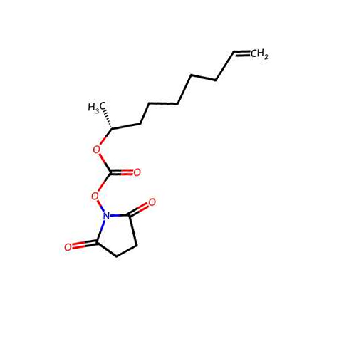 C=CCCCCC[C@@H](C)OC(=O)ON1C(=O)CCC1=O